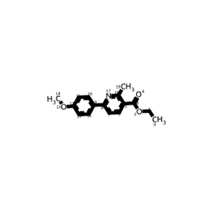 CCOC(=O)c1ccc(-c2ccc(OC)cc2)nc1C